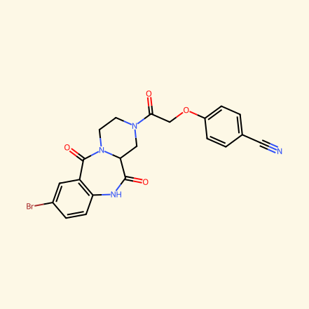 N#Cc1ccc(OCC(=O)N2CCN3C(=O)c4cc(Br)ccc4NC(=O)C3C2)cc1